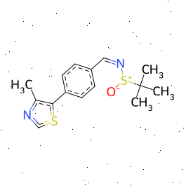 Cc1ncsc1-c1ccc(/C=N\[S+]([O-])C(C)(C)C)cc1